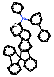 c1ccc(-c2cccc(N(c3ccccc3)c3cccc4c3ccc3cc5c(cc34)C3(c4ccccc4-c4ccccc43)c3ccccc3-5)c2)cc1